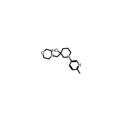 Cc1ccc(N2CCCC(O)(CN3CCOCC3)C2)cn1